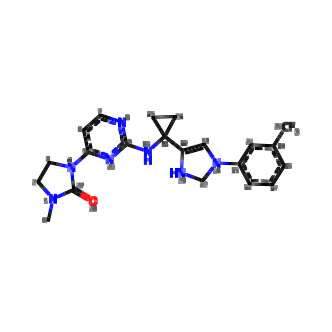 CN1CCN(c2ccnc(NC3(C4=CN(c5cccc(C(F)(F)F)c5)CN4)CC3)n2)C1=O